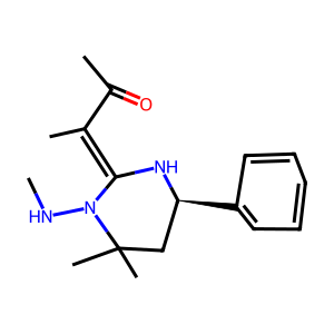 CNN1/C(=C(\C)C(C)=O)N[C@@H](c2ccccc2)CC1(C)C